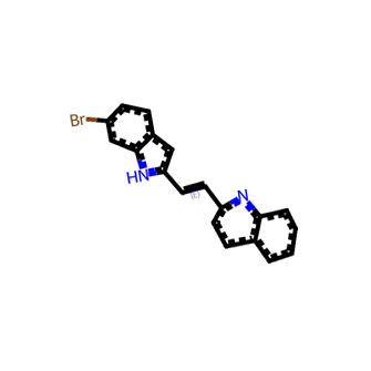 Brc1ccc2cc(/C=C/c3ccc4ccccc4n3)[nH]c2c1